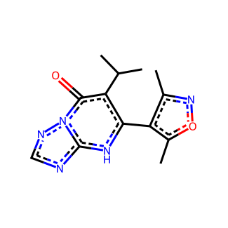 Cc1noc(C)c1-c1[nH]c2ncnn2c(=O)c1C(C)C